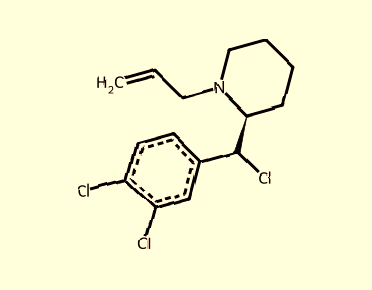 C=CCN1CCCC[C@H]1C(Cl)c1ccc(Cl)c(Cl)c1